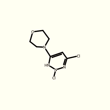 ClC1=NN(Cl)NC(N2CCOCC2)=C1